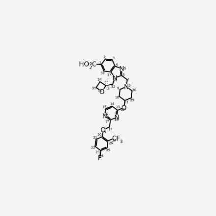 O=C(O)c1ccc2nc(CN3CCC(Oc4ccnc(COc5ccc(F)cc5C(F)(F)F)n4)CC3)n(C[C@@H]3CCO3)c2c1